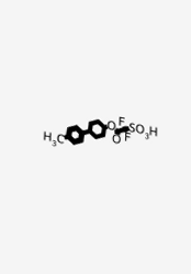 Cc1ccc(C2CCC(OC(=O)C(F)(F)S(=O)(=O)O)CC2)cc1